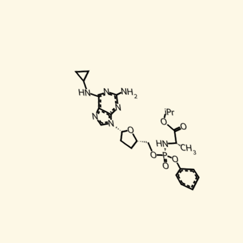 CC(C)OC(=O)[C@H](C)N[P@](=O)(OC[C@@H]1CC[C@H](n2cnc3c(NC4CC4)nc(N)nc32)O1)Oc1ccccc1